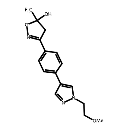 COCCn1cc(-c2ccc(C3=NOC(O)(C(F)(F)F)C3)cc2)cn1